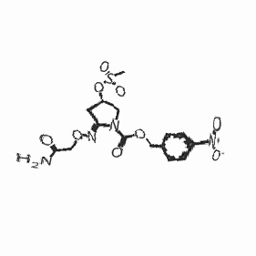 CS(=O)(=O)O[C@@H]1C/C(=N\OCC(N)=O)N(C(=O)OCc2ccc([N+](=O)[O-])cc2)C1